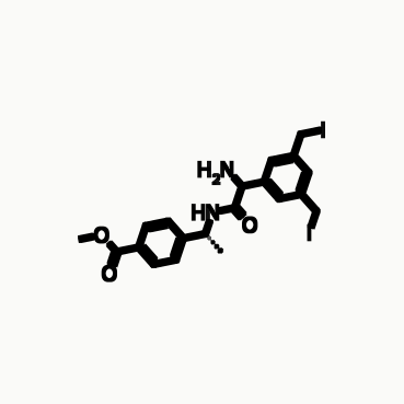 COC(=O)c1ccc([C@@H](C)NC(=O)C(N)c2cc(CI)cc(CI)c2)cc1